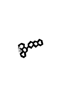 C1=CC2C(c3ccc4cc5ccccc5cc4c3)=Cc3ccccc3[C@H]2N=C1